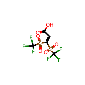 O=C(O)C=C(S(=O)(=O)C(F)(F)F)S(=O)(=O)C(F)(F)F